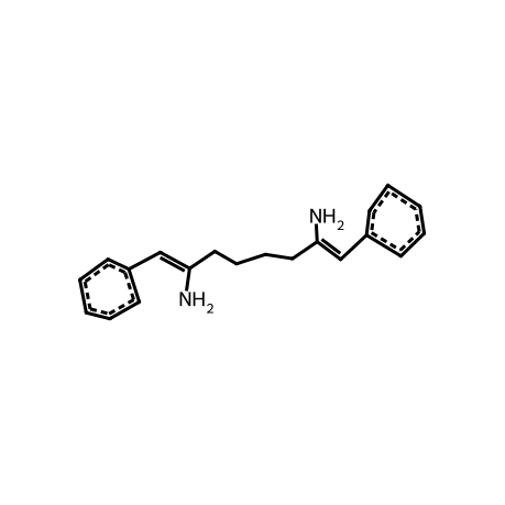 NC(=Cc1ccccc1)CCCCC(N)=Cc1ccccc1